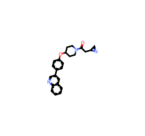 O=C(CC1C=N1)N1CCC(Oc2ccc(-c3cnc4ccccc4c3)cc2)CC1